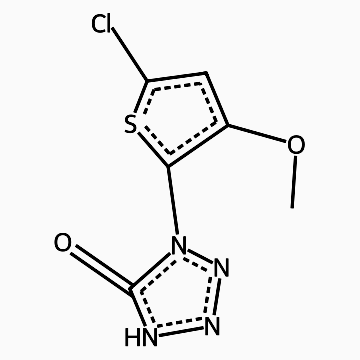 COc1cc(Cl)sc1-n1nn[nH]c1=O